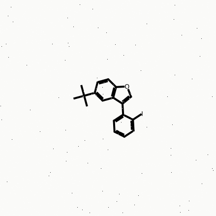 CC(C)(C)c1ccc2occ(-c3ccccc3I)c2c1